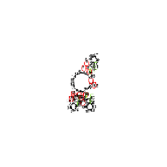 COC(C(=O)O[C@H]1CCCCCCCC[C@H](OC(=O)C(OC)(c2ccccc2)C(F)(F)F)[C@H](OC(=O)C(OC)(c2ccccc2)C(F)(F)F)/C=C/C(=O)O[C@@H]1C)(c1ccccc1)C(F)(F)F